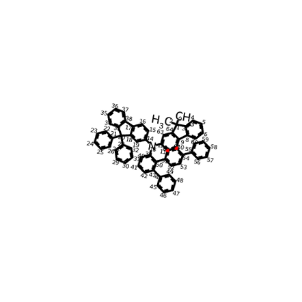 CC1(C)c2ccccc2-c2ccc(N(c3ccc4c(c3)C(c3ccccc3)(c3ccccc3)c3ccccc3-4)c3cccc(-c4ccccc4)c3-c3ccc(-c4ccccc4)cc3)cc21